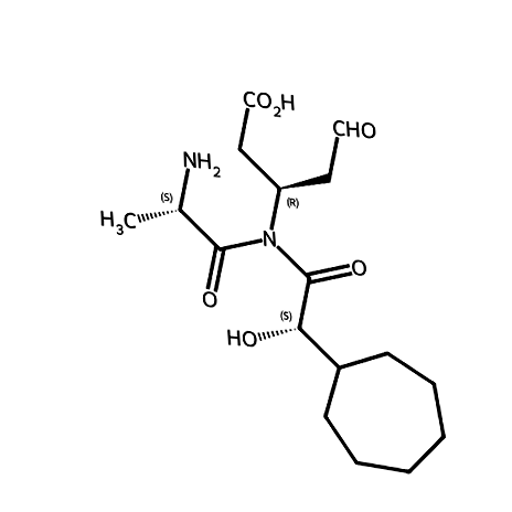 C[C@H](N)C(=O)N(C(=O)[C@@H](O)C1CCCCCC1)[C@H](CC=O)CC(=O)O